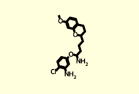 COc1ccc2c(c1)OC(CCCC(N)Oc1ccc(Cl)c(N)c1)CC2